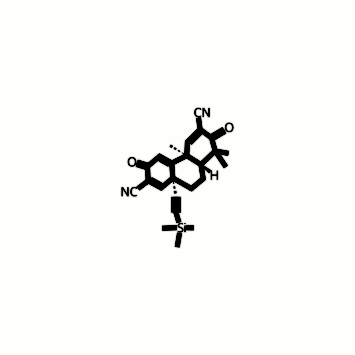 CC1(C)C(=O)C(C#N)=C[C@]2(C)C3=CC(=O)C(C#N)=C[C@]3(C#C[Si](C)(C)C)CC[C@@H]12